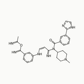 CC(=N)OC(=N)c1cccc(N/C=C\C(=N)N(C(=O)c2cccc(-c3ncc[nH]3)c2)C2CCN(C)CC2)c1